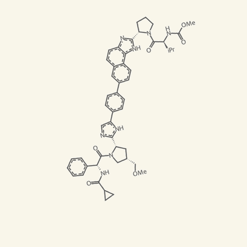 COC[C@H]1C[C@@H](c2ncc(-c3ccc(-c4ccc5c(ccc6nc([C@@H]7CCCN7C(=O)[C@@H](NC(=O)OC)C(C)C)[nH]c65)c4)cc3)[nH]2)N(C(=O)[C@H](NC(=O)C2CC2)c2ccccc2)C1